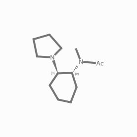 CC(=O)N(C)[C@@H]1CCCC[C@H]1N1CCCC1